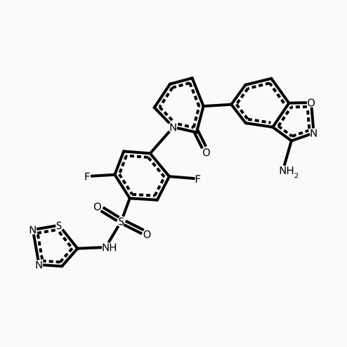 Nc1noc2ccc(-c3cccn(-c4cc(F)c(S(=O)(=O)Nc5cnns5)cc4F)c3=O)cc12